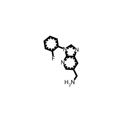 NCc1cnc2c(c1)ncn2-c1ccccc1F